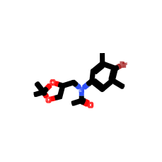 CC(=O)N(CC1COC(C)(C)O1)c1cc(C)c(Br)c(C)c1